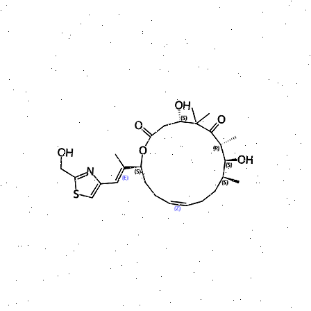 C/C(=C\c1csc(CO)n1)[C@@H]1CC/C=C\CC[C@H](C)[C@H](O)[C@@H](C)C(=O)C(C)(C)[C@@H](O)CC(=O)O1